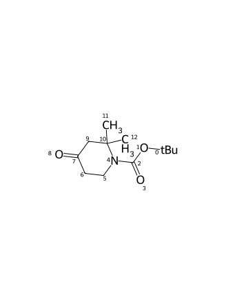 CC(C)(C)OC(=O)N1CCC(=O)CC1(C)C